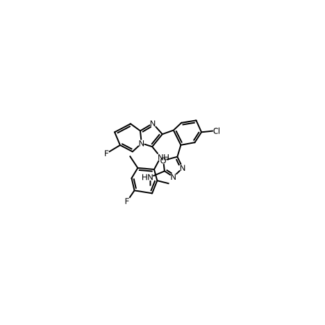 CNc1nnc(-c2cc(Cl)ccc2-c2nc3ccc(F)cn3c2Nc2c(C)cc(F)cc2C)o1